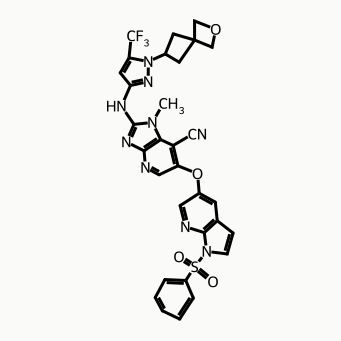 Cn1c(Nc2cc(C(F)(F)F)n(C3CC4(COC4)C3)n2)nc2ncc(Oc3cnc4c(ccn4S(=O)(=O)c4ccccc4)c3)c(C#N)c21